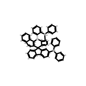 c1ccc(N(c2ccccc2)c2ccc3c(c2)C2(c4ccccc4-3)c3cccc(N(c4ccccc4)c4ccccc4)c3Oc3c2ccc2ccccc32)cc1